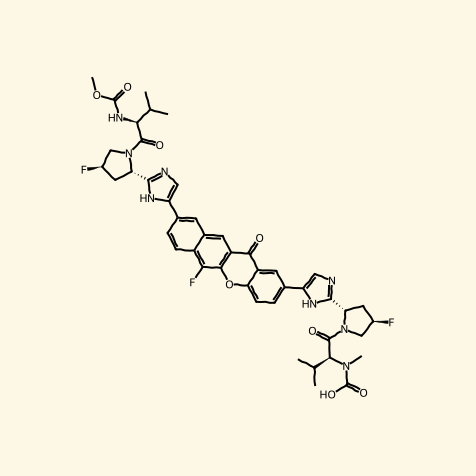 COC(=O)N[C@H](C(=O)N1C[C@H](F)C[C@H]1c1ncc(-c2ccc3c(F)c4oc5ccc(-c6cnc([C@@H]7C[C@@H](F)CN7C(=O)[C@H](C(C)C)N(C)C(=O)O)[nH]6)cc5c(=O)c4cc3c2)[nH]1)C(C)C